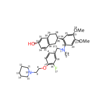 CCN(Cc1ccc(OCCN2CCCCC2)c(F)c1)c1cc(OC)c(OC)cc1[C@@H]1CCc2cc(O)ccc2C1